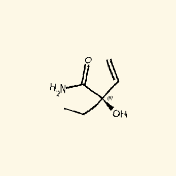 C=C[C@](O)(CC)C(N)=O